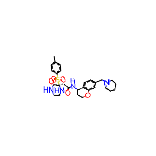 Cc1ccc(S(=O)(=O)[C@@]2(CC(=O)N[C@@H]3CCOc4cc(CN5CCCCC5)ccc43)NCCNC2=O)cc1